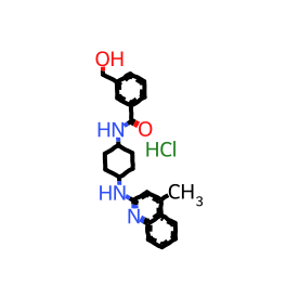 Cc1cc(NC2CCC(NC(=O)c3cccc(CO)c3)CC2)nc2ccccc12.Cl